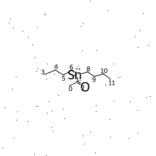 CC=O.CCC[CH2][Sn][CH2]CCC